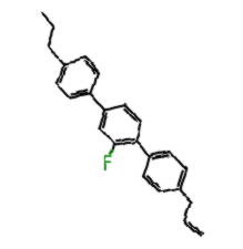 C=CCc1ccc(-c2ccc(-c3ccc(CCC)cc3)cc2F)cc1